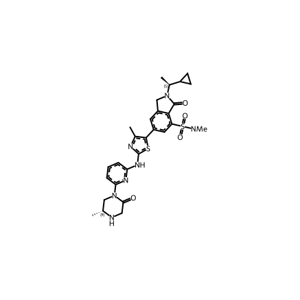 CNS(=O)(=O)c1cc(-c2sc(Nc3cccc(N4C[C@@H](C)NCC4=O)n3)nc2C)cc2c1C(=O)N([C@@H](C)C1CC1)C2